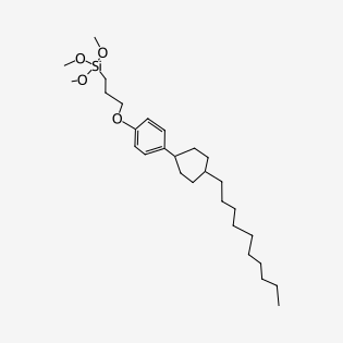 CCCCCCCCCCC1CCC(c2ccc(OCCC[Si](OC)(OC)OC)cc2)CC1